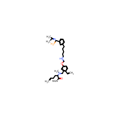 C=CCCC(C(=O)NC)N(C)Cc1cc(OCNCCCCCc2cccc(C(P)N=C(C)C)c2)ccc1C=C